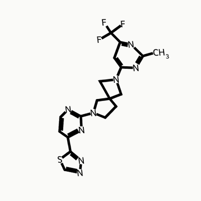 Cc1nc(N2CC3(CCN(c4nccc(-c5nncs5)n4)C3)C2)cc(C(F)(F)F)n1